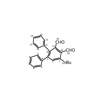 CCCCc1cc(-c2ccccc2)c(-c2ccccc2)c(C=O)c1C=O